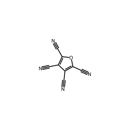 N#Cc1oc(C#N)c(C#N)c1C#N